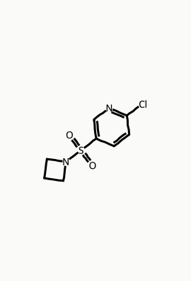 O=S(=O)(c1ccc(Cl)nc1)N1CCC1